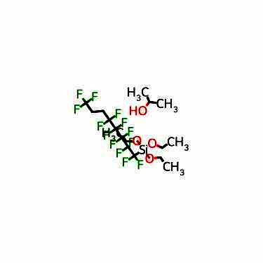 CC(C)O.CCO[Si](OCC)(OCC)C(F)(F)C(F)(F)C(F)(F)C(F)(F)C(F)(F)CCC(F)(F)F